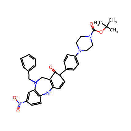 CC(C)(C)OC(=O)N1CCN(c2ccc(C3C=CC4=C(CN(Cc5ccccc5)c5cc([N+](=O)[O-])ccc5N4)C3=O)cc2)CC1